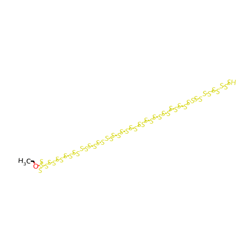 CCOS(=S)(=S)SSSSSSSSSSSSSSSSSSSSSSSSSSSSSSSSSSSSSSSSSSSSSS